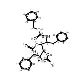 CC(=O)OC(C(Cc1ccccc1)NC(=O)OCc1ccccc1)C1OC(=O)NC1Cc1ccccc1